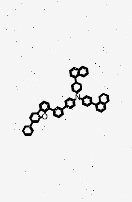 C1=CCCC(C2=CC3Oc4c(-c5cccc(-c6ccc(N(C7=CCC(c8cccc9ccccc89)C=C7)c7ccc(-c8cccc9c8CCC=C9)cc7)cc6)c5)cccc4C3C=C2)=C1